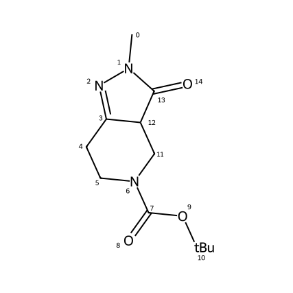 CN1N=C2CCN(C(=O)OC(C)(C)C)CC2C1=O